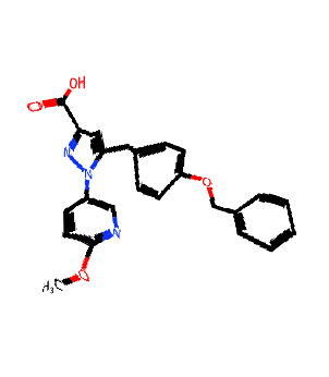 COc1ccc(-n2nc(C(=O)O)cc2-c2ccc(OCc3ccccc3)cc2)cn1